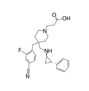 N#Cc1ccc(CC2(CN[C@@H]3C[C@H]3c3ccccc3)CCN(CCC(=O)O)CC2)c(F)c1